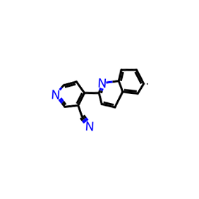 N#Cc1cnccc1-c1ccc2c[c]ccc2n1